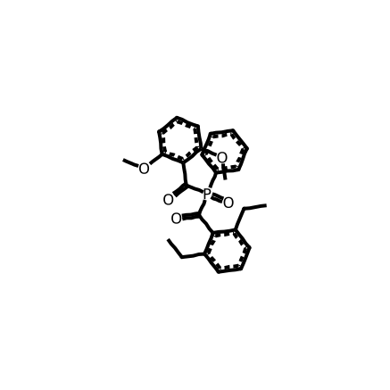 CCc1cccc(CC)c1C(=O)P(=O)(C(=O)c1c(OC)cccc1OC)c1ccccc1